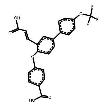 O=C(O)C=Cc1cc(-c2ccc(OC(F)(F)F)cc2)ccc1Oc1ccc(C(=O)O)cc1